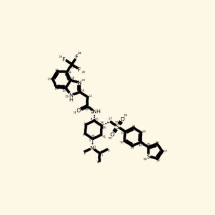 CC(C)N(C)[C@@H]1CC[C@H](NC(=O)Cc2nc3c(C(F)(F)F)cccc3[nH]2)[C@H](CS(=O)(=O)c2ccc(-c3cccs3)cc2)C1